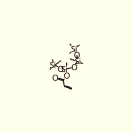 C=CC(=O)O[Si](C)(O[Si](C)(C)C)O[Si](C)(C)O[Si](C)(C)C